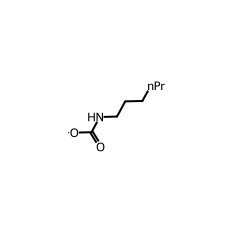 [CH2]CCCCCNC([O])=O